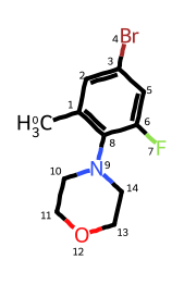 Cc1cc(Br)cc(F)c1N1CCOCC1